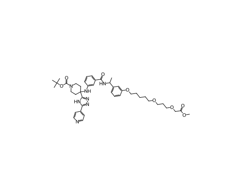 COC(=O)COCCCOCCCCCOc1cccc(C(C)NC(=O)c2cccc(NC3(c4nnc(-c5ccncc5)[nH]4)CCN(C(=O)OC(C)(C)C)CC3)c2)c1